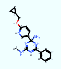 CC(C)NC1=NC(N)(c2ccc(OCC3CC3)nc2)NC(c2ccccc2)=N1